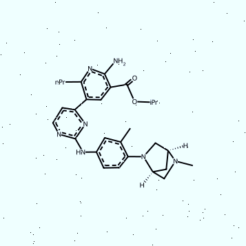 CCCc1nc(N)c(C(=O)OC(C)C)cc1-c1ccnc(Nc2ccc(N3C[C@@H]4C[C@H]3CN4C)c(C)c2)n1